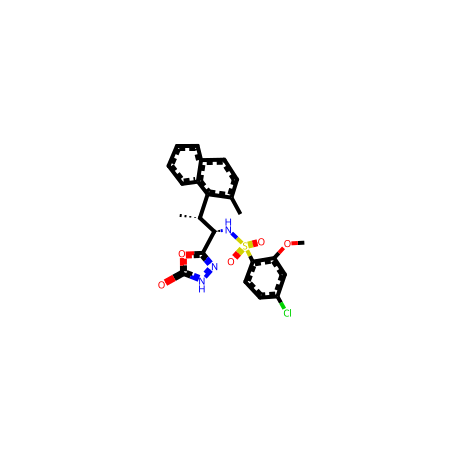 COc1cc(Cl)ccc1S(=O)(=O)N[C@H](c1n[nH]c(=O)o1)[C@H](C)c1c(C)ccc2ccccc12